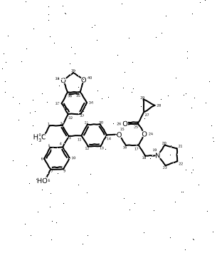 CCC(=C(c1ccc(O)cc1)c1ccc(OCC(CN2CCCC2)OC(=O)C2CC2)cc1)c1ccc2c(c1)OCO2